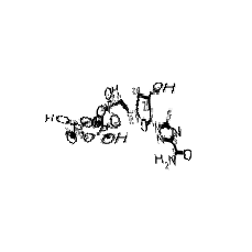 NC(=O)c1ncn([C@@H]2O[C@H](/C=C/P(=O)(O)OP(=O)(O)OP(=O)(O)O)C[C@H]2O)n1